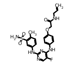 C=CCNC(=O)COc1ccc(Nc2nc(Nc3ccc(C)c(S(N)(=O)=O)c3)ncc2F)cc1